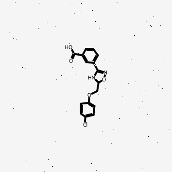 O=C(O)c1cccc(C2=NOC(COc3ccc(Cl)cc3)N2)c1